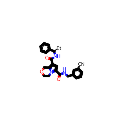 CC[C@@H](NC(=O)c1cc(C(=O)NCc2cccc(C#N)c2)n2c1COCC2)c1ccccc1